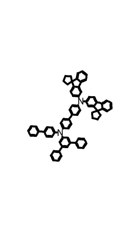 c1ccc(-c2ccc(N(c3ccc(-c4ccc(N(c5ccc6c(c5)-c5ccccc5C65CCCC5)c5ccc6c(c5)C5(CCCC5)c5ccccc5-6)cc4)cc3)c3cc(-c4ccccc4)cc(-c4ccccc4)c3)cc2)cc1